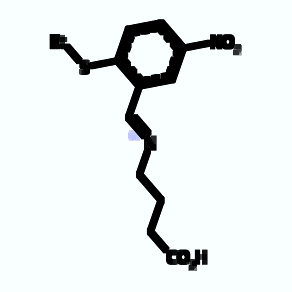 CCSc1ccc([N+](=O)[O-])cc1/C=N/CCCC(=O)O